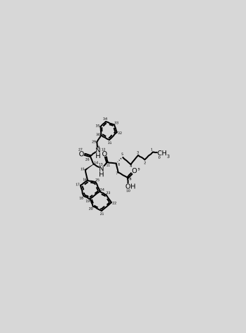 CCCCCC[C@H](CC(=O)O)C(=O)N[C@@H](Cc1ccc2ccccc2c1)C(=O)NCc1ccccc1